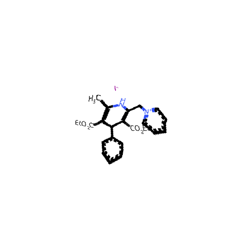 CCOC(=O)C1=C(C)NC(C[n+]2ccccc2)=C(C(=O)OCC)C1c1ccccc1.[I-]